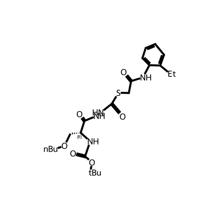 CCCCOC[C@@H](NC(=O)OC(C)(C)C)C(=O)NNC(=O)SCC(=O)Nc1ccccc1CC